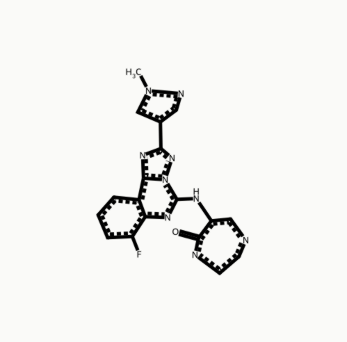 Cn1cc(-c2nc3c4cccc(F)c4nc(Nc4cnccnc4=O)n3n2)cn1